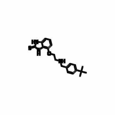 CC(C)(C)c1ccc(CNCCOc2cccc3[nH]c(=S)[nH]c23)cc1